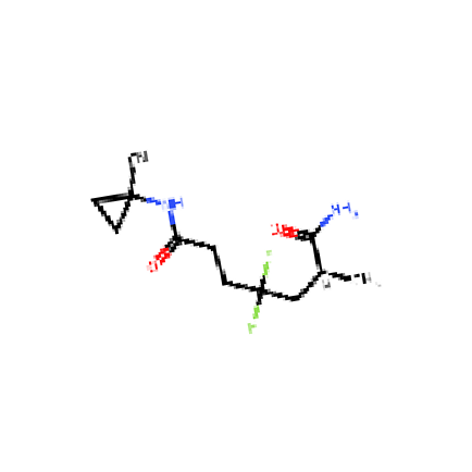 C[C@@H](CC(F)(F)C[CH]C(=O)NC1(C#N)CC1)C(N)=O